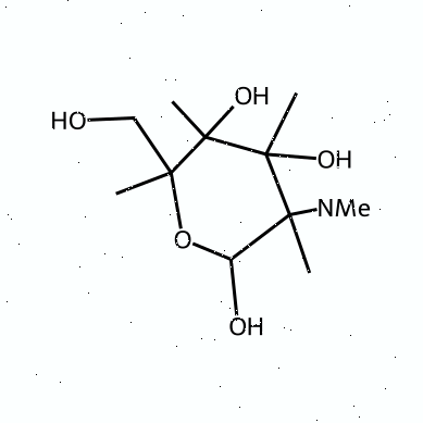 CNC1(C)C(O)OC(C)(CO)C(C)(O)C1(C)O